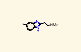 CNCCc1nc2cc(C)ccc2[nH]1